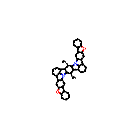 CC(C)c1c2c3cccc4c5cc6oc7ccccc7c6cc5n(c2c(C(C)C)c2c5cccc6c7cc8oc9ccccc9c8cc7n(c12)c65)c43